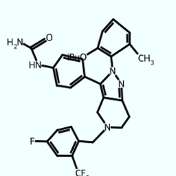 Cc1cccc(OCC(C)C)c1-n1nc2c(c1-c1ccc(NC(N)=O)cc1)CN(Cc1ccc(F)cc1C(F)(F)F)CC2